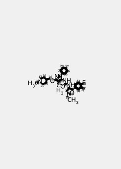 CCN1C[C@H](NC(=O)Nc2c(C)c(OCC3CCN(C)CC3)nn2-c2ccccc2)[C@@H](c2ccc(F)c(F)c2)O1